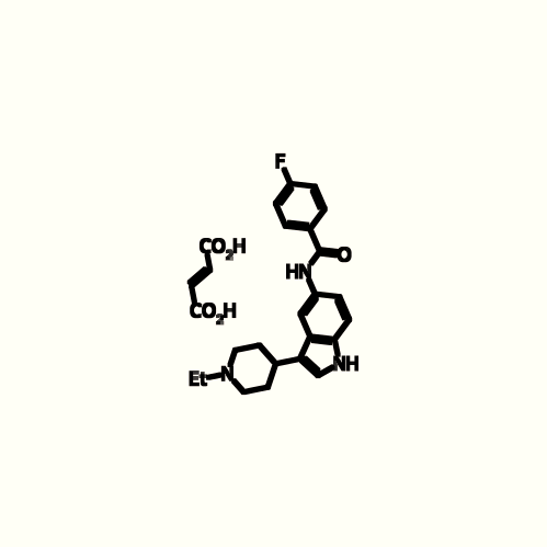 CCN1CCC(c2c[nH]c3ccc(NC(=O)c4ccc(F)cc4)cc23)CC1.O=C(O)C=CC(=O)O